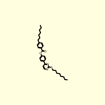 CCCCCCCCSc1nccc(-c2ccc(OC(=O)c3ccc(CCCCCCC)cc3)cc2)n1